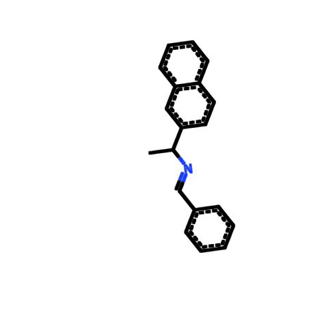 CC(N=Cc1ccccc1)c1ccc2ccccc2c1